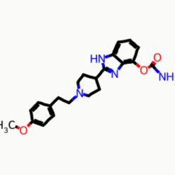 COc1ccc(CCN2CCC(c3nc4c(OC(N)=O)cccc4[nH]3)CC2)cc1